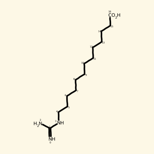 N=C(N)NCCCCCCCCCCCCC(=O)O